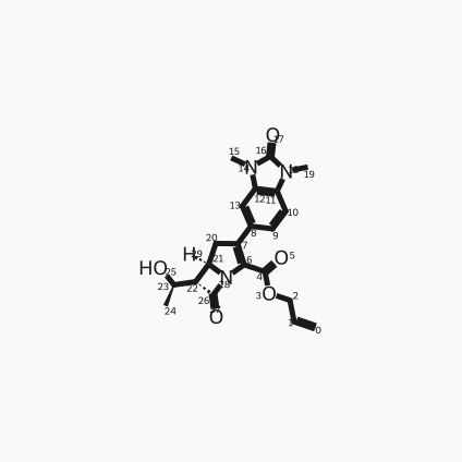 C=CCOC(=O)C1=C(c2ccc3c(c2)n(C)c(=O)n3C)C[C@@H]2[C@@H]([C@@H](C)O)C(=O)N12